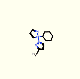 Cc1ccn([N+]2(C3CCCCC3)C=C[C]=N2)n1